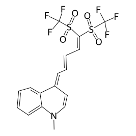 CN1C=CC(=CC=CC=C(S(=O)(=O)C(F)(F)F)S(=O)(=O)C(F)(F)F)c2ccccc21